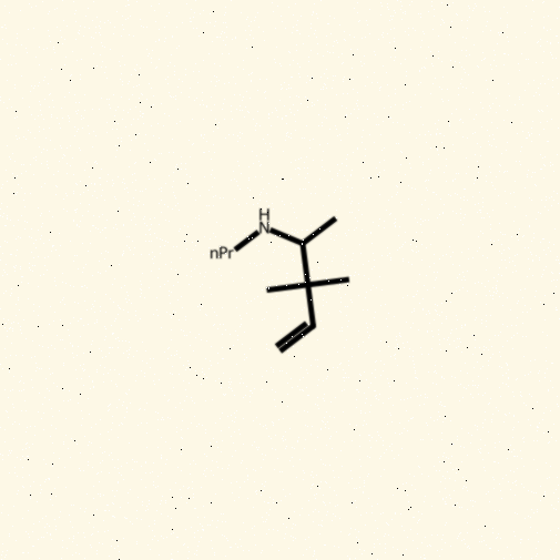 C=CC(C)(C)C(C)NCCC